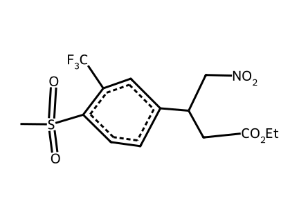 CCOC(=O)CC(C[N+](=O)[O-])c1ccc(S(C)(=O)=O)c(C(F)(F)F)c1